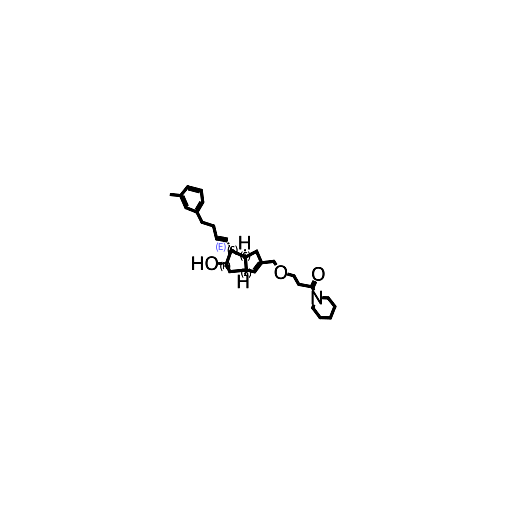 Cc1cccc(CC/C=C/[C@@H]2[C@H]3CC(COCCC(=O)N4CCCCC4)=C[C@H]3C[C@H]2O)c1